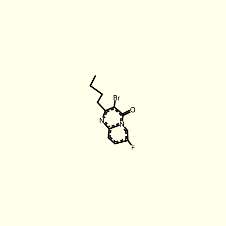 CCCCc1nc2ccc(F)cn2c(=O)c1Br